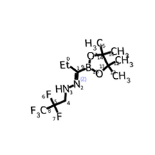 CC/C(=N\NCC(F)(F)C(F)(F)F)B1OC(C)(C)C(C)(C)O1